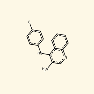 Nc1cnc2ccccc2c1Nc1ccc(F)cc1